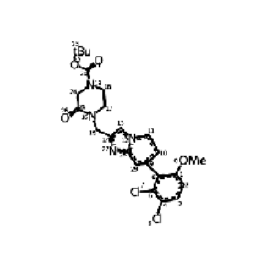 COc1ccc(Cl)c(Cl)c1-c1ccn2cc(CN3CCN(C(=O)OC(C)(C)C)CC3=O)nc2c1